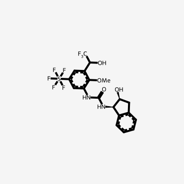 COc1c(NC(=O)N[C@@H]2c3ccccc3C[C@@H]2O)cc(S(F)(F)(F)(F)F)cc1C(O)C(F)(F)F